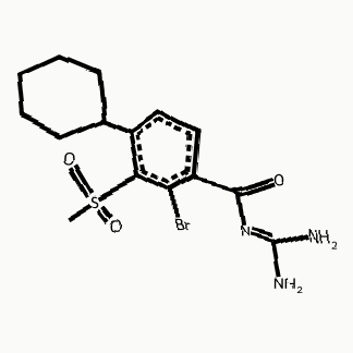 CS(=O)(=O)c1c(C2CCCCC2)ccc(C(=O)N=C(N)N)c1Br